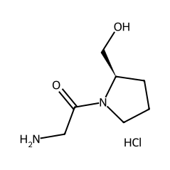 Cl.NCC(=O)N1CCC[C@@H]1CO